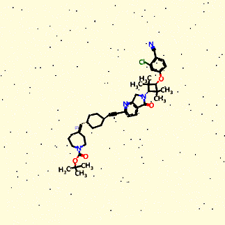 CC(C)(C)OC(=O)N1CCC/C(=C/[C@H]2CC[C@H](C#Cc3ccc4c(n3)CN([C@H]3C(C)(C)[C@H](Oc5ccc(C#N)c(Cl)c5)C3(C)C)C4=O)CC2)CC1